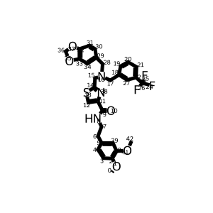 COc1ccc(CCNC(=O)c2csc(CN(Cc3cccc(C(F)(F)F)c3)Cc3ccc4c(c3)OCO4)n2)cc1OC